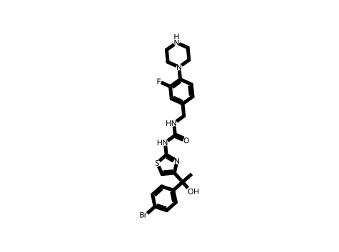 CC(O)(c1ccc(Br)cc1)c1csc(NC(=O)NCc2ccc(N3CCNCC3)c(F)c2)n1